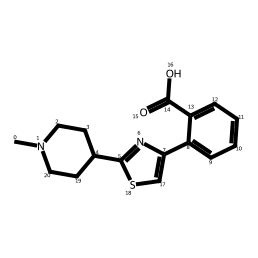 CN1CCC(c2nc(-c3ccccc3C(=O)O)cs2)CC1